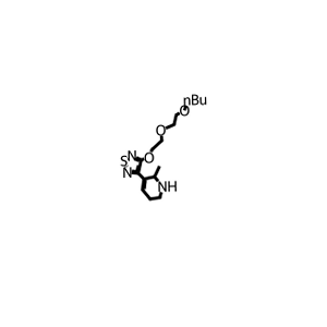 CCCCOCCOCCOc1nsnc1C1=CCCNC1C